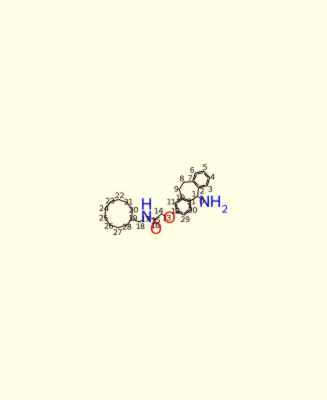 NC1c2ccccc2CCc2cc(OCC(=O)NCC3CCCCCCCCC3)ccc21